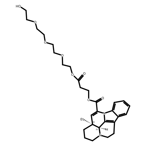 CC[C@@]12C=C(C(=O)OCCC(=O)OCCOCCOCCOCCO)n3c4c(c5ccccc53)CCN(CCC1)[C@H]42